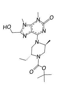 CC[C@@H]1CN(c2nc(=O)n(C)c3c2nc(CO)n3C)[C@@H](C)CN1C(=O)OC(C)(C)C